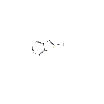 [CH2]CCCCCc1cc2cccc(F)c2s1